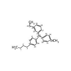 CCCCc1ccc(N(c2ccc(C)cc2)c2cccc(SC)c2)cc1